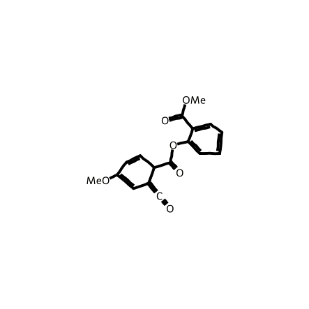 COC(=O)c1ccccc1OC(=O)C1C=CC(OC)=CC1=C=O